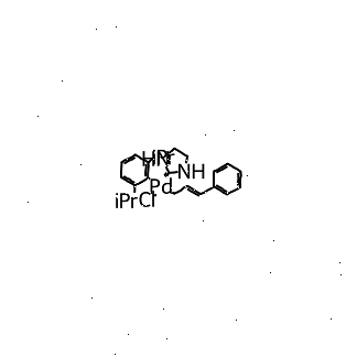 CC(C)c1cccc(C(C)C)[c]1[Pd]([Cl])([CH2]C=Cc1ccccc1)=[C]1NCCN1